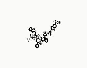 CCC(=O)NC(Cc1ccc2ccccc2c1)C(=O)NC(Cc1c[nH]c2ccccc12)C(=O)NC(Cc1ccccc1)C(=O)NC(CCCCNc1ccc2cc(C(=O)O)ccc2n1)C(N)=O